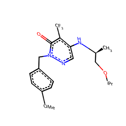 COc1ccc(Cn2ncc(N[C@@H](C)COC(C)C)c(C(F)(F)F)c2=O)cc1